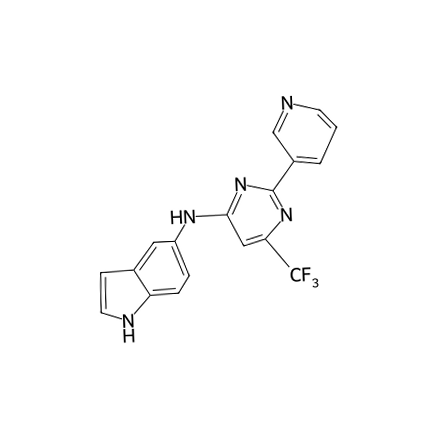 FC(F)(F)c1cc(Nc2ccc3[nH]ccc3c2)nc(-c2cccnc2)n1